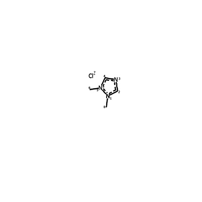 Cn1cnc[n+]1C.[Cl-]